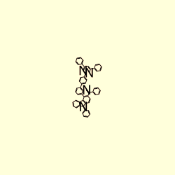 c1ccc(-c2cc(-c3ccccc3)nc(-c3ccc(-c4cccc5c4nc(-c4ccccc4)c4ccc6c(c7ccccc7n6-c6ccccc6)c45)cc3)n2)cc1